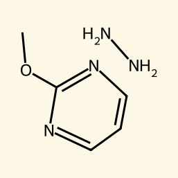 COc1ncccn1.NN